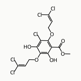 COC(=O)c1c(O)c(OCC=C(Cl)Cl)c(O)c(Cl)c1OCC=C(Cl)Cl